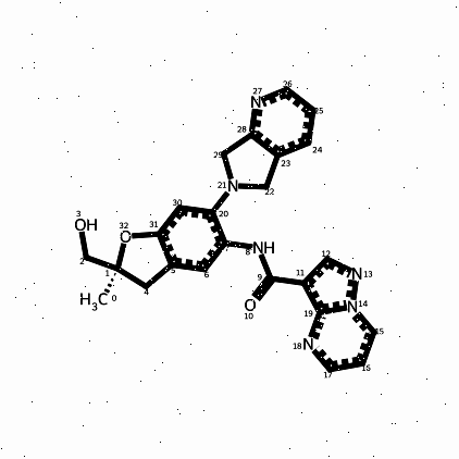 C[C@@]1(CO)Cc2cc(NC(=O)c3cnn4cccnc34)c(N3Cc4cccnc4C3)cc2O1